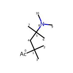 CC(=O)C(C)(C)CC(C)(C)N(C)C